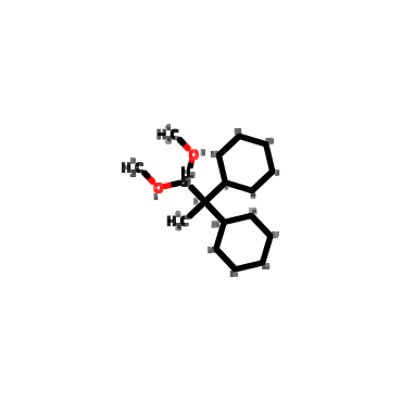 CO[SiH](OC)C(C)(C1CCCCC1)C1CCCCC1